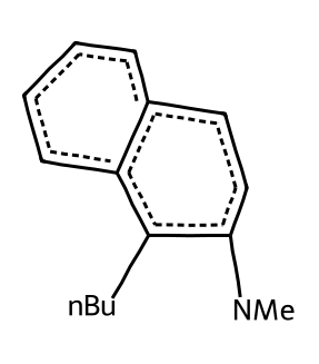 CCCCc1c(NC)ccc2ccccc12